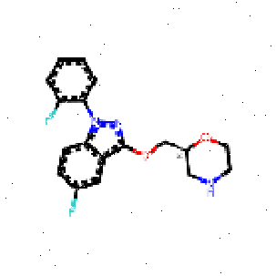 Fc1ccc2c(c1)c(OC[C@@H]1CNCCO1)nn2-c1ccccc1F